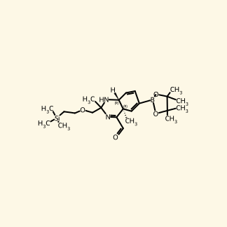 CC1(COCC[Si](C)(C)C)N=C(C=O)[C@]2(C)C=C(B3OC(C)(C)C(C)(C)O3)C=C[C@H]2N1